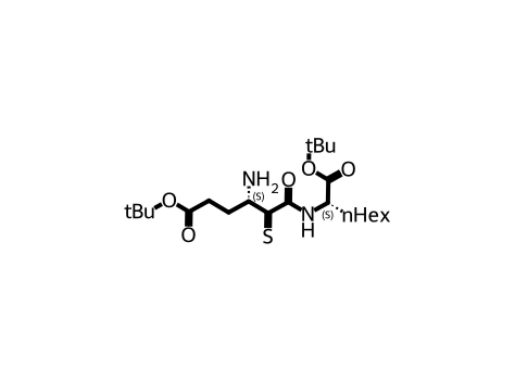 CCCCCC[C@H](NC(=O)C(=S)[C@@H](N)CCC(=O)OC(C)(C)C)C(=O)OC(C)(C)C